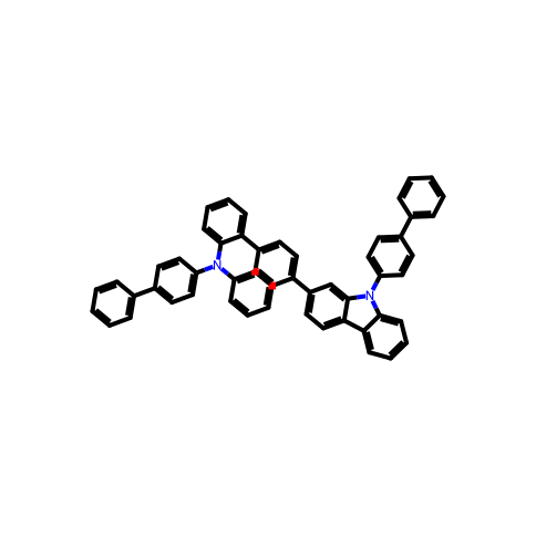 c1ccc(-c2ccc(N(c3ccccc3)c3ccccc3-c3ccc(-c4ccc5c6ccccc6n(-c6ccc(-c7ccccc7)cc6)c5c4)cc3)cc2)cc1